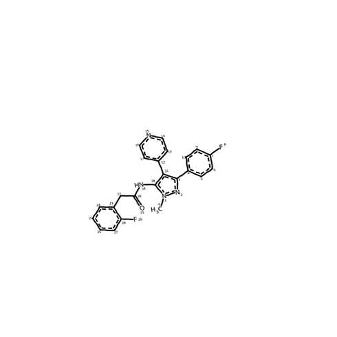 Cn1nc(-c2ccc(F)cc2)c(-c2ccncc2)c1NC(=O)Cc1ccccc1F